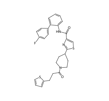 O=C(Nc1ccccc1-c1ccc(F)cc1)c1csc(C2CCN(C(=O)CCc3cccs3)CC2)n1